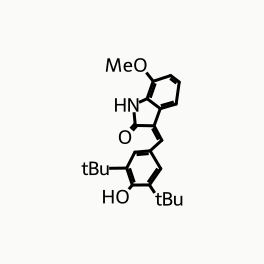 COc1cccc2c1NC(=O)/C2=C\c1cc(C(C)(C)C)c(O)c(C(C)(C)C)c1